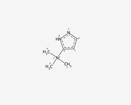 C[N+](C)(C)c1ccn[nH]1